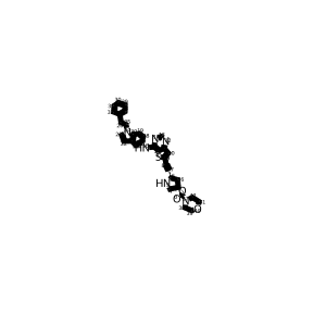 O=C(O[C@H]1CN[C@H](C#Cc2cc3ncnc(Nc4ccc5c(ccn5CCc5ccccc5)c4)c3s2)C1)N1CCOCC1